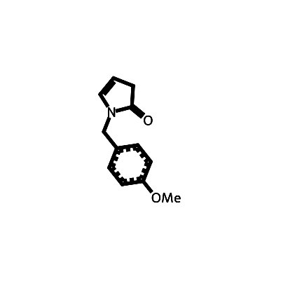 COc1ccc(CN2C=CCC2=O)cc1